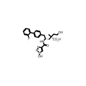 C[C@@](CCO)(C[C@@H](Cc1ccc(-c2ccccc2F)cc1)NC(=O)c1cn(O)nn1)C(=O)O